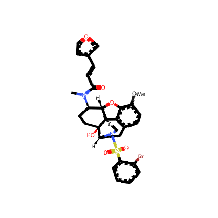 COc1ccc2c3c1O[C@H]1[C@H](N(C)C(=O)/C=C/c4ccoc4)CC[C@@]4(O)[C@@H](C2)N(S(=O)(=O)c2ccccc2Br)CC[C@]314